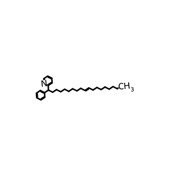 CCCCCCCCC=CCCCCCCCCC(c1ccccc1)c1ccccn1